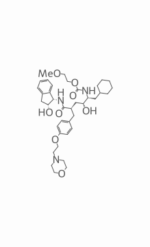 COCCOC(=O)N[C@@H](CC1CCCCC1)[C@@H](O)C[C@@H](Cc1ccc(OCCN2CCOCC2)cc1)C(=O)N[C@H]1c2ccccc2C[C@H]1O